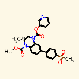 COC(=O)N1c2ccc(-c3ccc(S(C)(=O)=O)cc3)cc2N(C(=O)Oc2cccnc2)C[C@@H]1C